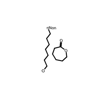 CCCCCCCCCCCCCCCC[O].O=C1CCCCCO1